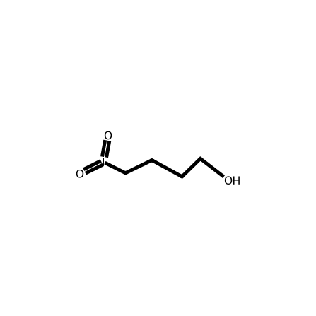 O=I(=O)CCCCO